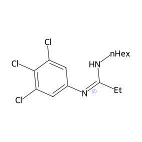 CCCCCCN/C(CC)=N\c1cc(Cl)c(Cl)c(Cl)c1